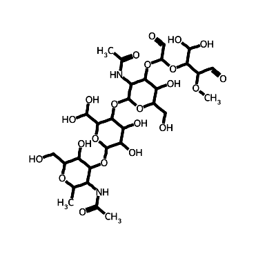 COC(C=O)C(OC(C=O)OC1C(O)C(CO)OC(OC2C(O)C(O)C(OC3C(O)C(CO)OC(C)C3NC(C)=O)OC2C(O)O)C1NC(C)=O)C(O)O